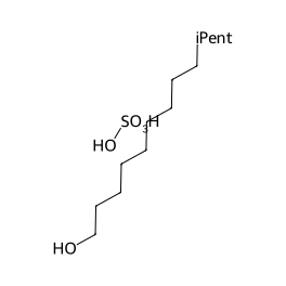 CCCC(C)CCCCCCCCCO.O=S(=O)(O)O